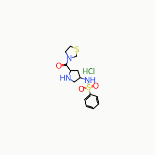 Cl.O=C(C1CC(NS(=O)(=O)c2ccccc2)CN1)N1CCSC1